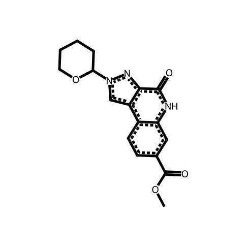 COC(=O)c1ccc2c(c1)[nH]c(=O)c1nn(C3CCCCO3)cc12